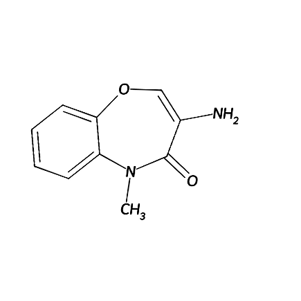 CN1C(=O)C(N)=COc2ccccc21